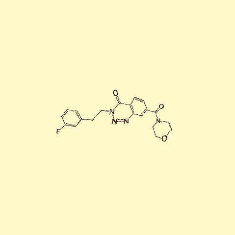 O=C(c1ccc2c(=O)n(CCc3cccc(F)c3)nnc2c1)N1CCOCC1